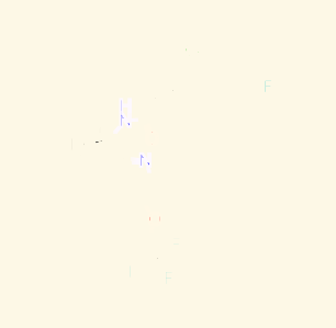 C[C@@H](NC(=O)C1CC1c1ccc(F)cc1Cl)c1ccc(OCC(F)(F)F)cn1